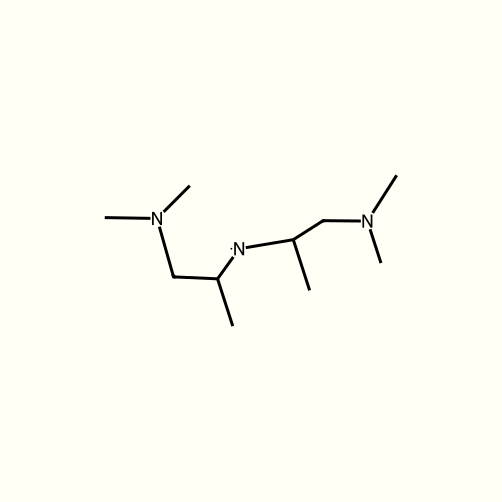 CC(CN(C)C)[N]C(C)CN(C)C